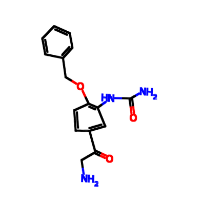 NCC(=O)c1ccc(OCc2ccccc2)c(NC(N)=O)c1